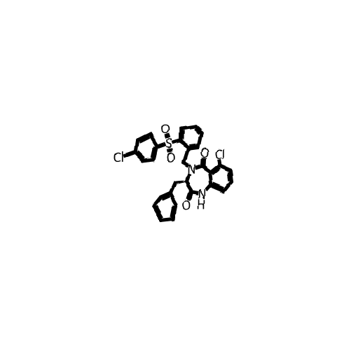 O=C1Nc2cccc(Cl)c2C(=O)N(Cc2ccccc2S(=O)(=O)c2ccc(Cl)cc2)[C@@H]1Cc1ccccc1